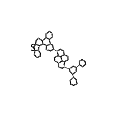 c1ccc(-c2cc(-c3ccccc3)cc(-c3ccc4ccc5c(-c6ccc7c(c6)c6ccccc6c6ccc8sc9ccccc9c8c67)ccc6ccc3c4c65)c2)cc1